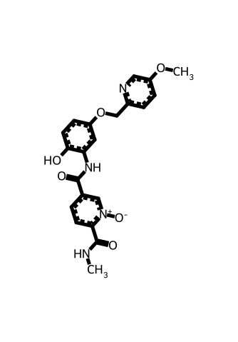 CNC(=O)c1ccc(C(=O)Nc2cc(OCc3ccc(OC)cn3)ccc2O)c[n+]1[O-]